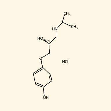 CC(C)NC[C@H](O)COc1ccc(O)cc1.Cl